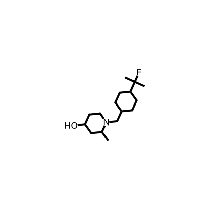 CC1CC(O)CCN1CC1CCC(C(C)(C)F)CC1